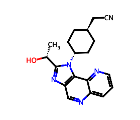 C[C@@H](O)c1nc2cnc3cccnc3c2n1[C@H]1CC[C@H](CC#N)CC1